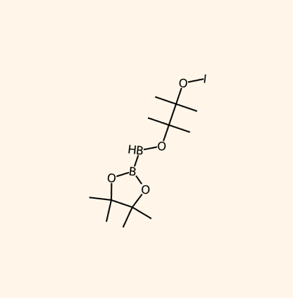 CC(C)(OI)C(C)(C)OBB1OC(C)(C)C(C)(C)O1